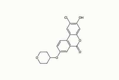 O=c1oc2cc(O)c(Cl)cc2c2ccc(OC3CCOCC3)cc12